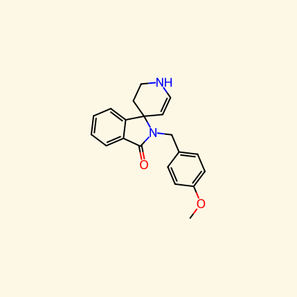 COc1ccc(CN2C(=O)c3ccccc3C23C=CNCC3)cc1